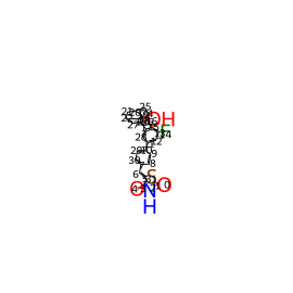 O=C1NC(=O)/C(=C/c2ccc(-c3cc(F)c(O)c(C45CC6CC(CC(C6)C4)C5)c3)cc2)S1